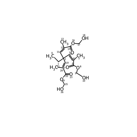 CCC(C=C(C)C(=O)OCO)(C=C(C)C(=O)OCO)C=C(C)C(=O)OCO